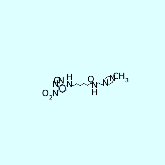 CN1CCN(CCNC(=O)CCCCCNc2ccc([N+](=O)[O-])c3nonc23)CC1